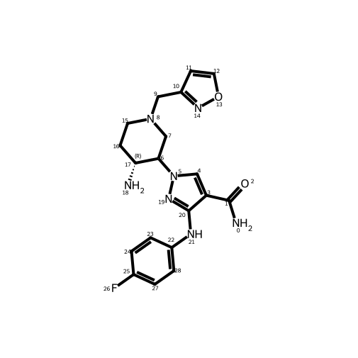 NC(=O)c1cn(C2CN(Cc3ccon3)CC[C@H]2N)nc1Nc1ccc(F)cc1